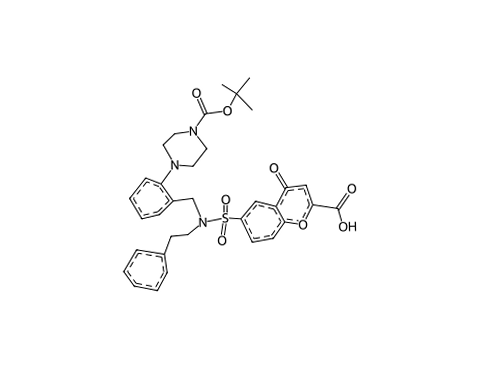 CC(C)(C)OC(=O)N1CCN(c2ccccc2CN(CCc2ccccc2)S(=O)(=O)c2ccc3oc(C(=O)O)cc(=O)c3c2)CC1